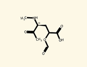 CN[C@@H](CC(OC=O)C(=O)O)C(C)=O